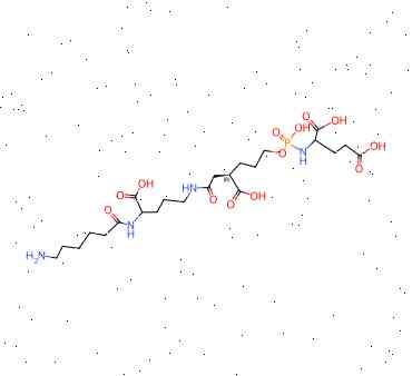 NCCCCCC(=O)NC(CCCNC(=O)C[C@@H](CCCOP(=O)(O)NC(CCC(=O)O)C(=O)O)C(=O)O)C(=O)O